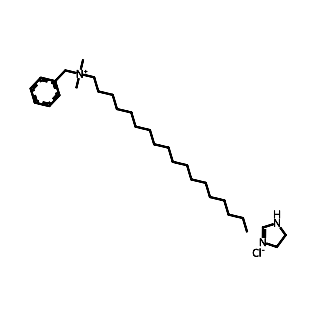 C1=NCCN1.CCCCCCCCCCCCCCCCCC[N+](C)(C)Cc1ccccc1.[Cl-]